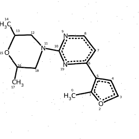 Cc1occc1-c1ccnc(N2CC(C)OC(C)C2)n1